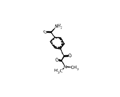 CN(C)C(=O)C(=O)c1ccc(C(N)=O)cc1